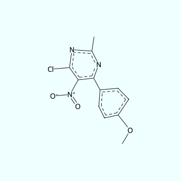 COc1ccc(-c2nc(C)nc(Cl)c2[N+](=O)[O-])cc1